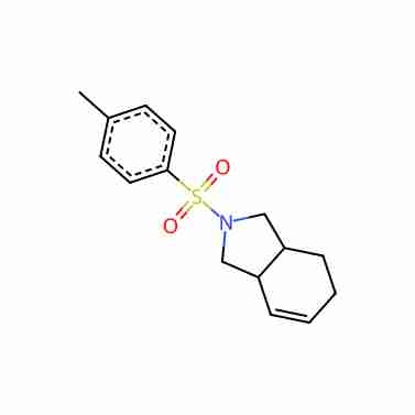 Cc1ccc(S(=O)(=O)N2CC3C=CCCC3C2)cc1